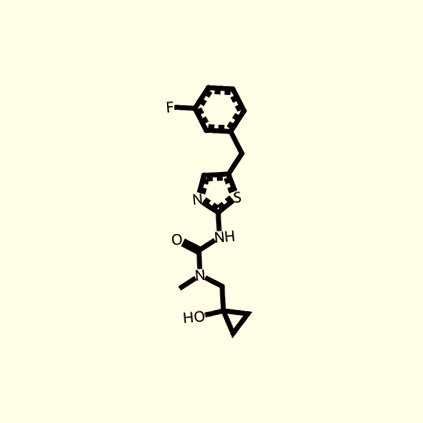 CN(CC1(O)CC1)C(=O)Nc1ncc(Cc2cccc(F)c2)s1